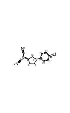 N#CC(C#N)=C1CCN(c2ccc(Cl)cc2)C1